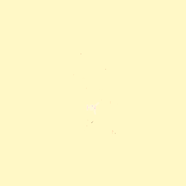 N#CC[C@H](NC(=O)c1ccc2ccccc2c1)C(=O)O